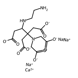 NCCNC(CC(=O)[O-])C(CC(=O)[O-])(CC(=O)[O-])N(CC(=O)[O-])CC(=O)[O-].[Ca+2].[Na+].[Na+].[Na+]